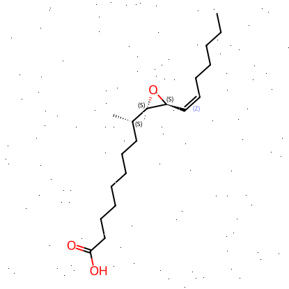 CCCCC/C=C\[C@@H]1O[C@H]1[C@@H](C)CCCCCCCC(=O)O